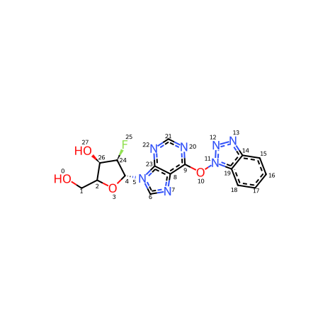 OCC1O[C@@H](n2cnc3c(On4nnc5ccccc54)ncnc32)[C@H](F)[C@@H]1O